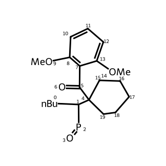 CCCCC(P=O)C1(C(=O)c2c(OC)cccc2OC)CCCCC1